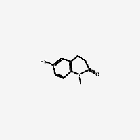 CN1C(=O)CCc2cc(S)ccc21